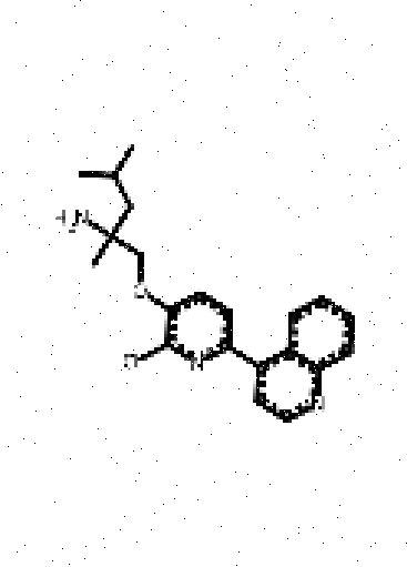 CC(C)CC(C)(N)COc1ccc(-c2ccnc3ccccc23)nc1Cl